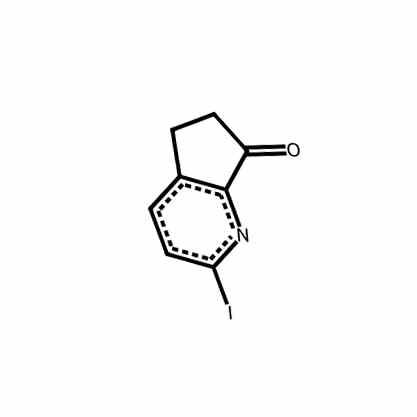 O=C1CCc2ccc(I)nc21